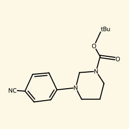 CC(C)(C)OC(=O)N1CCCN(c2ccc(C#N)cc2)C1